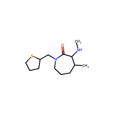 CNC1C(=O)N(CC2CCCS2)CCCC1C